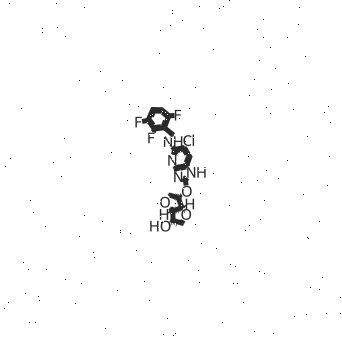 O[C@@H]1CO[C@H]2[C@@H]1OC[C@H]2Oc1nc2nc(NCc3c(F)ccc(F)c3F)c(Cl)cc2[nH]1